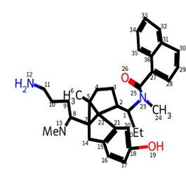 CCC(C1CCC2(C)C3(C(CCCN)NC)Cc4ccc(O)cc4C123)N(C)C(=O)c1cccc2ccccc12